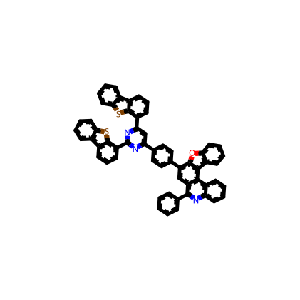 c1ccc(-c2nc3ccccc3c3c2cc(-c2ccc(-c4cc(-c5cccc6c5sc5ccccc56)nc(-c5cccc6c5sc5ccccc56)n4)cc2)c2oc4ccccc4c23)cc1